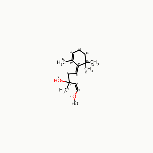 CCO/C=C\C(C)(O)CC=C1C(C)=CCCC1(C)C